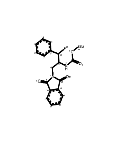 CC(C)(C)OC(=O)NC(CN1C(=O)c2ccccc2C1=O)C(F)c1ccccc1